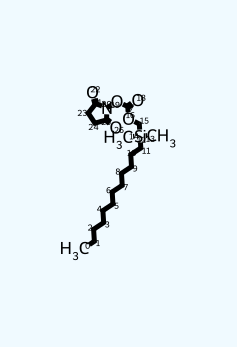 CCCCCCCCCCCC[Si](C)(C)COC(=O)ON1C(=O)CCC1=O